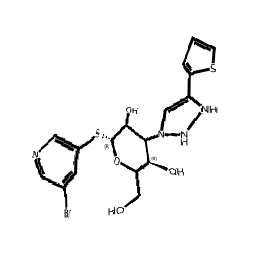 OCC1O[C@H](Sc2cncc(Br)c2)C(O)C(N2C=C(c3cccs3)NN2)[C@H]1O